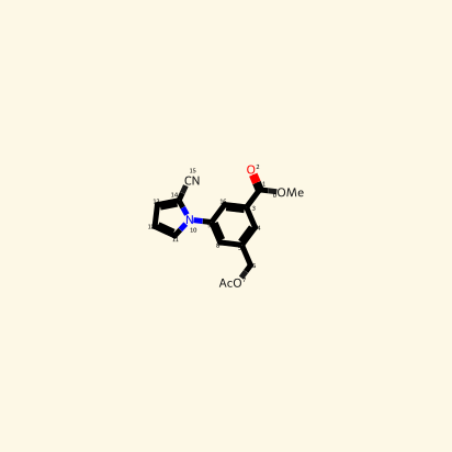 COC(=O)c1cc(COC(C)=O)cc(-n2cccc2C#N)c1